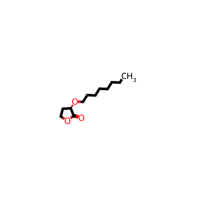 CCCCCCCCO[C@@H]1CCOC1=O